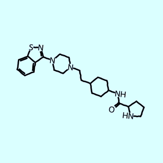 O=C(NC1CCC(CCN2CCN(c3nsc4ccccc34)CC2)CC1)C1CCCN1